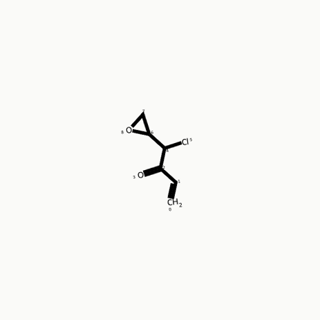 C=CC(=O)C(Cl)C1CO1